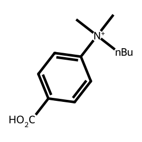 CCCC[N+](C)(C)c1ccc(C(=O)O)cc1